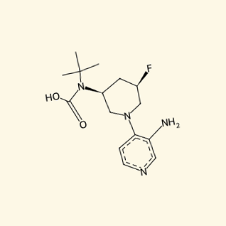 CC(C)(C)N(C(=O)O)[C@H]1C[C@@H](F)CN(c2ccncc2N)C1